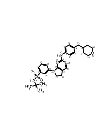 CC(C)(C)NS(=O)(=O)c1cccc(N2CCc3cnc(Nc4ccc(CC5CCOCC5)cc4)nc32)c1